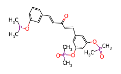 CP(C)Oc1cccc(/C=C/C(=O)/C=C/c2cc(OP(C)(C)=O)cc(OP(C)(C)=O)c2)c1